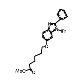 COC(=O)CCCCCOc1ccc2nc(-c3ccccc3)n(C(C)C)c2c1